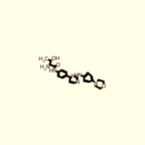 CC(O)[C@H](N)C(=O)Nc1ccc(-c2ccnc(Nc3ccc(N4CCOCC4)cc3)n2)cc1